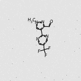 Cn1cc(-c2ncc(C(F)(F)F)cn2)c(C=O)n1